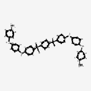 CC(C)(c1ccc(Oc2ccc(Oc3ccc(N)cc3)cc2)cc1)c1ccc(C(C)(C)c2ccc(Oc3ccc(Oc4ccc(N)cc4)cc3)cc2)cc1